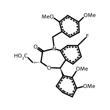 COc1ccc(CN2C(=O)[C@@H](CC(=O)O)O[C@H](c3cccc(OC)c3OC)c3ccc(F)cc32)c(OC)c1